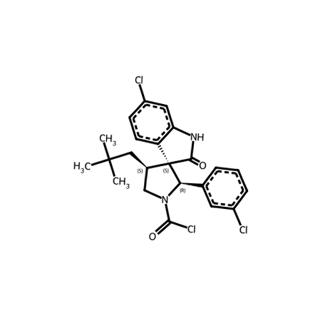 CC(C)(C)C[C@@H]1CN(C(=O)Cl)[C@H](c2cccc(Cl)c2)[C@]12C(=O)Nc1cc(Cl)ccc12